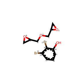 C(OCC1CO1)C1CO1.Oc1cccc(Br)c1Br